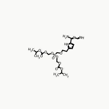 CC(C)OC(=O)OCOP(=O)(COCCc1ccc(/C(N)=N\C=N)[nH]1)OCOC(=O)OC(C)C